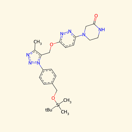 Cc1nnn(-c2ccc(CO[Si](C)(C)C(C)(C)C)cc2)c1COc1ccc(N2CCNC(=O)C2)nn1